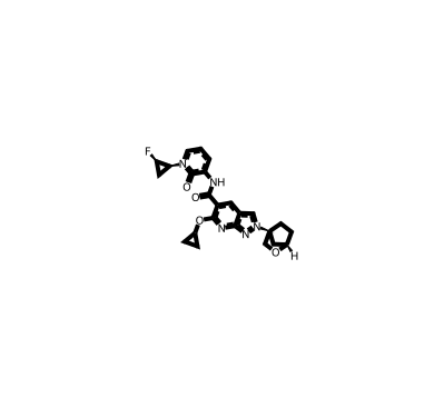 O=C(Nc1cccn([C@H]2C[C@H]2F)c1=O)c1cc2cn([C@@]34CC[C@@H](C3)OC4)nc2nc1OC1CC1